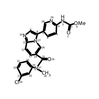 COC(=O)Nc1ccc(-c2cnc3ccc(C(=O)N(C)c4cccc(Cl)c4)cn23)cn1